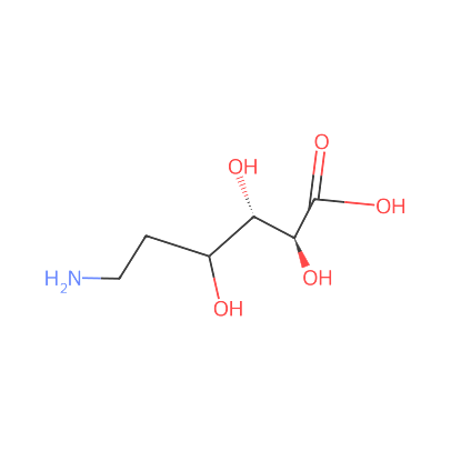 NCCC(O)[C@H](O)[C@H](O)C(=O)O